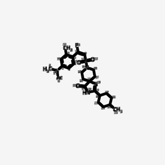 CC(=O)N(C)c1ccc(/C(F)=C\S(=O)(=O)N2CCC3(CC2)N=C(C2CCC(C)CC2)NC3=O)c(C)c1